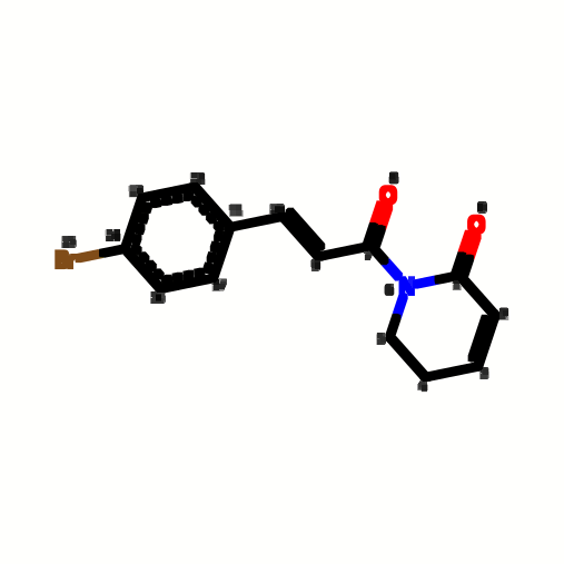 O=C1C=CCCN1C(=O)C=Cc1ccc(Br)cc1